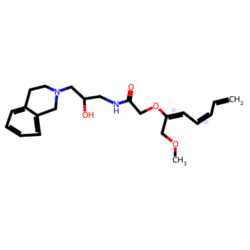 C=C/C=C\C=C(/COC)OCC(=O)NCC(O)CN1CCc2ccccc2C1